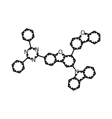 c1ccc(-c2nc(-c3ccccc3)nc(-c3ccc4c(c3)oc3c(-c5ccc6oc7ccccc7c6c5)cc(-n5c6ccccc6c6ccccc65)cc34)n2)cc1